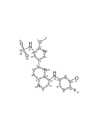 COc1ncc(-c2ccc3nccc(Nc4ccc(F)c(Cl)c4)c3n2)cc1NS(C)(=O)=O